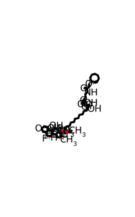 CCC(=O)O[C@]1(C(=O)SCCCCCCCCCCP(=O)(O)OP(=O)(O)OCCNC(=O)CO[C@H]2C#CCCCCC2)[C@H](C)C[C@H]2[C@@H]3C[C@H](F)C4=CC(=O)C=C[C@]4(C)[C@@]3(F)[C@@H](O)C[C@@]21C